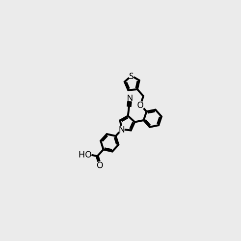 N#Cc1cn(-c2ccc(C(=O)O)cc2)cc1-c1ccccc1OCc1ccsc1